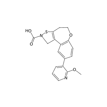 COc1ncccc1-c1ccc2c(c1)C1=C(CCO2)SN(C(=O)O)C1